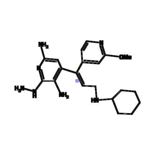 COc1cc(/C(=C\CNC2CCCCC2)c2cc(N)nc(NN)c2N)ccn1